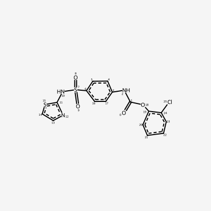 O=C(Nc1ccc(S(=O)(=O)Nc2nccs2)cc1)Oc1ccccc1Cl